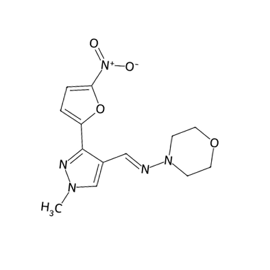 Cn1cc(/C=N/N2CCOCC2)c(-c2ccc([N+](=O)[O-])o2)n1